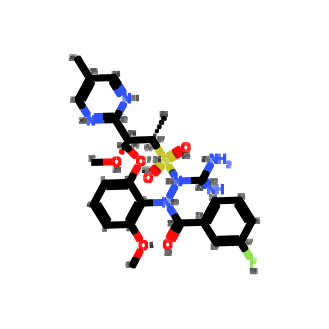 COc1cccc(OC)c1N(C(=O)c1cccc(F)c1)N(C(=N)N)S(=O)(=O)[C@@H](C)[C@H](OC)c1ncc(C)cn1